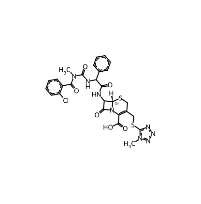 CN(C(=O)NC(C(=O)NC1C(=O)N2C(C(=O)O)=C(CSc3nnnn3C)CS[C@@H]12)c1ccccc1)C(=O)c1ccccc1Cl